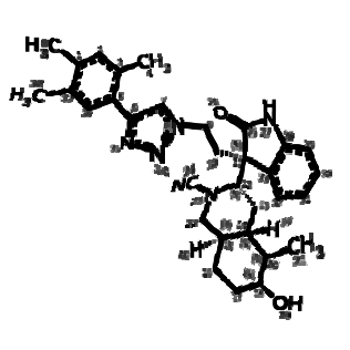 Cc1cc(C)c(-c2cn(CC[C@]3([C@@H]4C[C@H]5[C@@H](CC[C@H](O)[C@@H]5C)CN4C#N)C(=O)Nc4ccccc43)nn2)cc1C